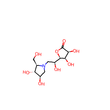 O=C1O[C@H]([C@@H](O)CN2C[C@@H](O)[C@H](O)[C@H]2CO)[C@H](O)[C@@H]1O